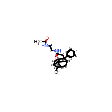 CC(=O)NCCNC(=O)CC1(c2ccccc2)C2CC3CC1CC(C2)C3C